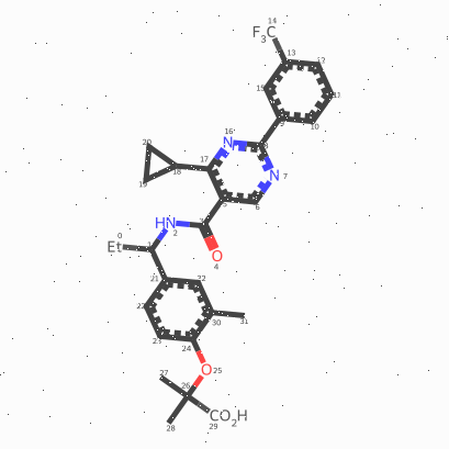 CCC(NC(=O)c1cnc(-c2cccc(C(F)(F)F)c2)nc1C1CC1)c1ccc(OC(C)(C)C(=O)O)c(C)c1